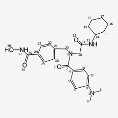 CN(C)c1ccc(C(=O)N(CC(=O)NC2CCCCC2)Cc2ccc(C(=O)NO)cc2)cc1